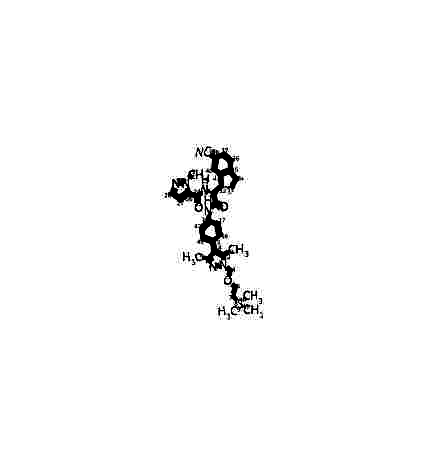 Cc1nn(COCCS(C)(C)C)c(C)c1-c1ccc(NC(=O)[C@@H](NC(=O)c2ccnn2C)[C@H]2CCc3ccc(C#N)cc32)cc1